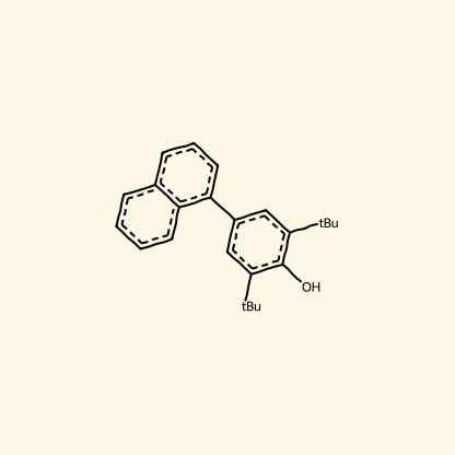 CC(C)(C)c1cc(-c2cccc3ccccc23)cc(C(C)(C)C)c1O